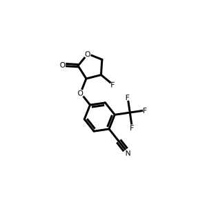 N#Cc1ccc(OC2C(=O)OCC2F)cc1C(F)(F)F